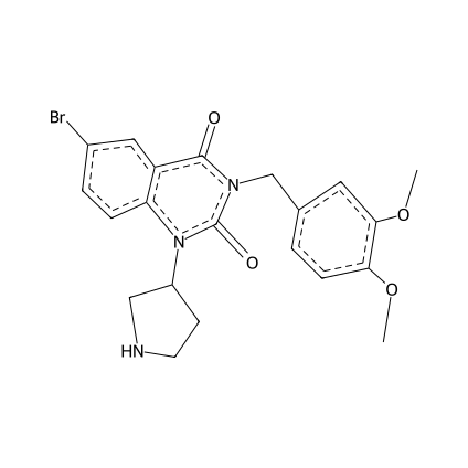 COc1ccc(Cn2c(=O)c3cc(Br)ccc3n(C3CCNC3)c2=O)cc1OC